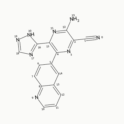 N#Cc1nc(-c2ccc3ncccc3c2)c(-c2ncn[nH]2)nc1N